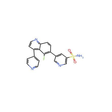 NS(=O)(=O)c1cncc(-c2ccc3nccc(-c4ccncc4)c3c2F)c1